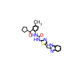 Cc1ccc(NC(=O)Nc2ncc(Cc3nc4ccccc4[nH]3)s2)c(C(=O)C2CCCC2)c1